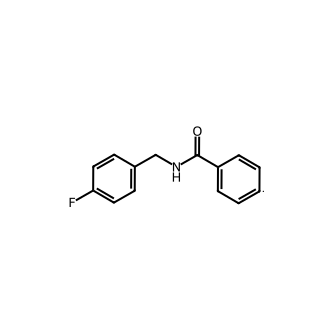 O=C(NCc1ccc(F)cc1)c1cc[c]cc1